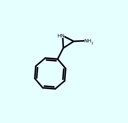 NC1NC1C1=C/C=C\C=C/C=C\1